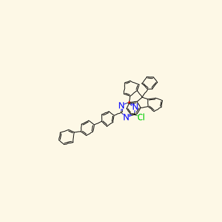 Clc1nc(-c2ccc(-c3ccc(-c4ccccc4)cc3)cc2)nc(-c2ccccc2C2(c3ccccc3)c3ccccc3-c3ccccc32)n1